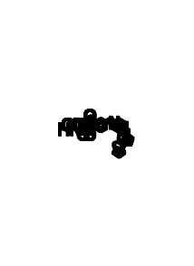 O=C1CCC(N2C(=O)c3ccc(CN4CCN(Cc5ccc(-c6cccs6)o5)CC4)cc3C2=O)C(=O)N1